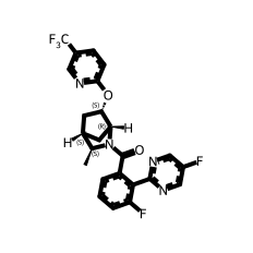 C[C@H]1[C@@H]2C[C@H](Oc3ccc(C(F)(F)F)cn3)[C@@H](C2)N1C(=O)c1cccc(F)c1-c1ncc(F)cn1